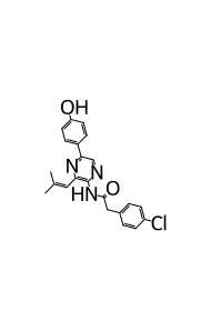 CC(C)=Cc1nc(-c2ccc(O)cc2)cnc1NC(=O)Cc1ccc(Cl)cc1